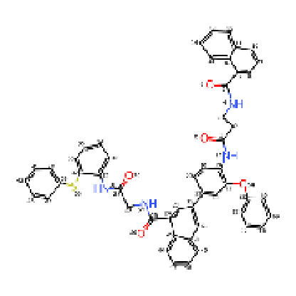 O=C(CCNC(=O)c1cccc2ccccc12)Nc1ccc(-c2cc(C(=O)NCC(=O)Nc3ccccc3Sc3ccccc3)c3ccccc3c2)cc1Oc1ccccc1